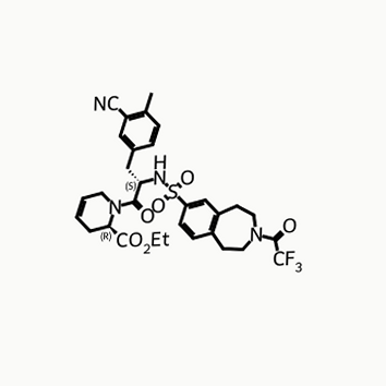 CCOC(=O)[C@H]1CC=CCN1C(=O)[C@H](Cc1ccc(C)c(C#N)c1)NS(=O)(=O)c1ccc2c(c1)CCN(C(=O)C(F)(F)F)CC2